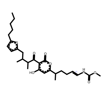 CCCCCc1ccc(CC(C)C(C)C(=O)c2c(O)cc(C(C)CC/C=C/NC(=O)OC)oc2=O)s1